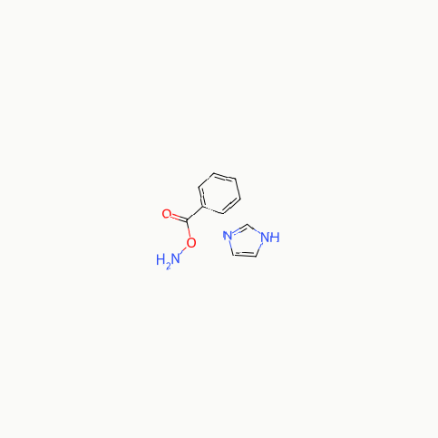 NOC(=O)c1ccccc1.c1c[nH]cn1